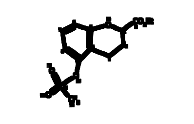 CCOC(=O)C1CCc2c(cccc2OS(=O)(=O)C(F)(F)F)O1